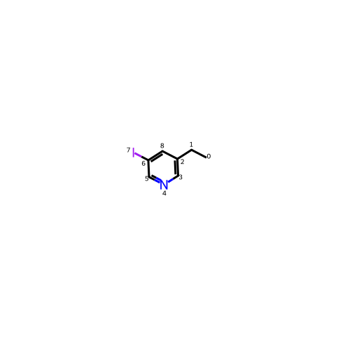 CCc1cncc(I)c1